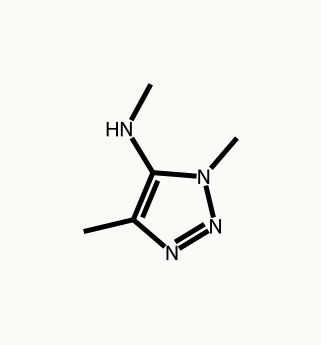 CNc1c(C)nnn1C